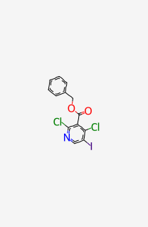 O=C(OCc1ccccc1)c1c(Cl)ncc(I)c1Cl